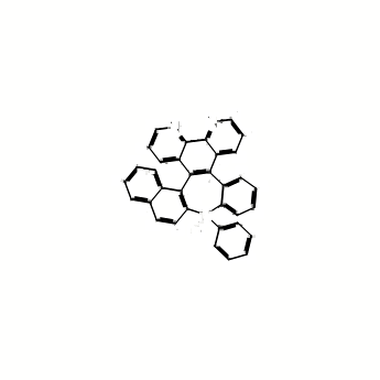 O=P1(c2ccccc2)c2ccccc2-c2c(c3cccnc3c3ncccc23)-c2c1ccc1ccccc21